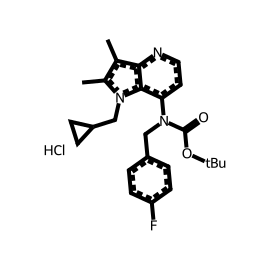 Cc1c(C)n(CC2CC2)c2c(N(Cc3ccc(F)cc3)C(=O)OC(C)(C)C)ccnc12.Cl